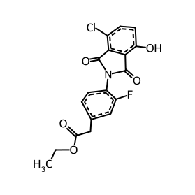 CCOC(=O)Cc1ccc(N2C(=O)c3c(O)ccc(Cl)c3C2=O)c(F)c1